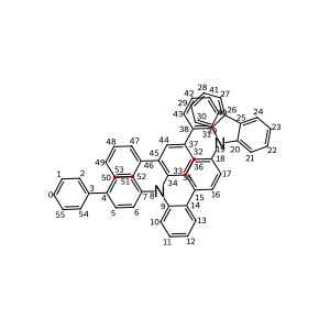 c1ccc(-c2ccc(N(c3ccccc3-c3ccc(-n4c5ccccc5c5ccccc54)cc3)c3ccc(-c4ccccc4)cc3-c3ccccc3)cc2)cc1